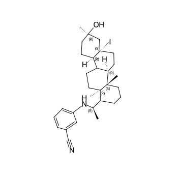 C[C@@H](Nc1cccc(C#N)c1)C1CCC[C@@]2(C)[C@@H]3CC[C@]4(I)C[C@](C)(O)CC[C@@H]4C3CC[C@]12C